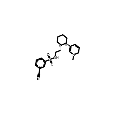 CN1C=C([C@@H]2CCCC[C@H]2CCNS(=O)(=O)c2cccc(C#N)c2)C=CC1